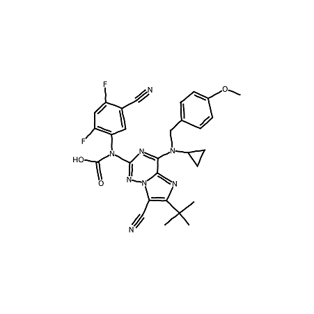 COc1ccc(CN(c2nc(N(C(=O)O)c3cc(C#N)c(F)cc3F)nn3c(C#N)c(C(C)(C)C)nc23)C2CC2)cc1